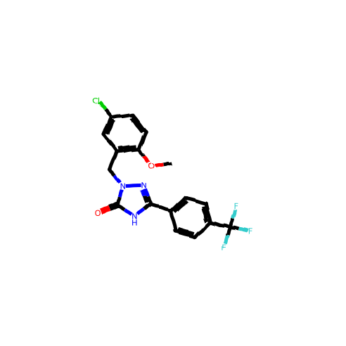 COc1ccc(Cl)cc1Cn1nc(-c2ccc(C(F)(F)F)cc2)[nH]c1=O